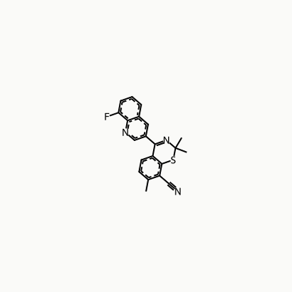 Cc1ccc2c(c1C#N)SC(C)(C)N=C2c1cnc2c(F)cccc2c1